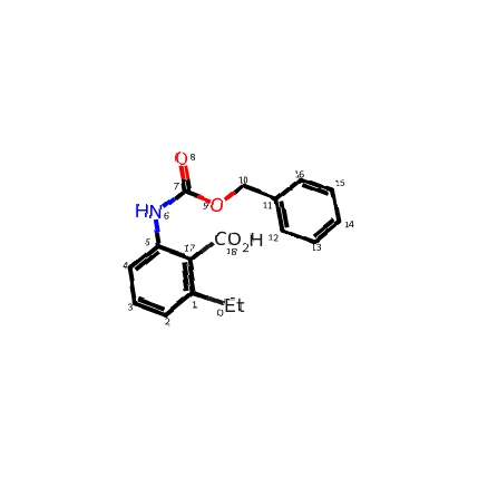 CCc1cccc(NC(=O)OCc2ccccc2)c1C(=O)O